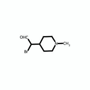 CN1CCC(C(Br)C=O)CC1